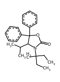 CCC(C)(CC)N1C(=O)OC(c2ccccc2)(c2ccccc2)C1C(C)C